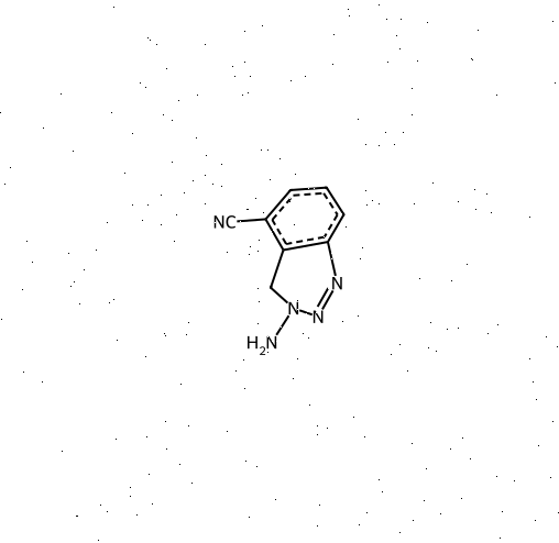 N#Cc1cccc2c1CN(N)N=N2